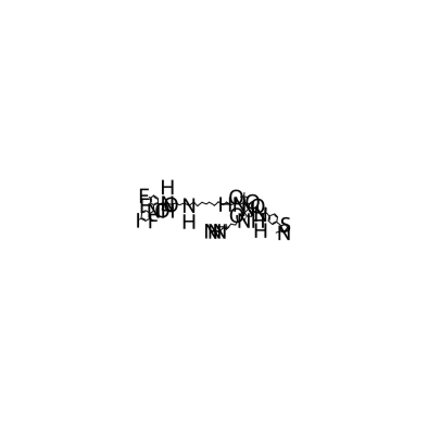 Cc1ncsc1-c1ccc(C(C)NC(=O)[C@@H]2C[C@@H](NC(=O)CCCCN=[N+]=[N-])CN2C(=O)C(NC(=O)CCCCCCCCCCNCCCONC(=O)c2ccc(F)c(F)c2Nc2ccc(I)cc2F)C(C)(C)C)cc1